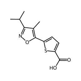 Cc1c(C(C)C)noc1-c1ccc(C(=O)O)s1